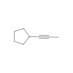 CC#C[C]1CCCC1